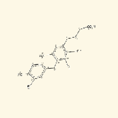 Cc1cc(CSCC(=O)O)c(F)c(Cl)c1Cc1ccc(O)c(C(C)C)c1